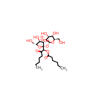 CCCCCC(=O)OC(C(=O)CCCCC)[C@@]1(O[C@H]2O[C@H](CO)[C@@H](O)[C@H](O)[C@H]2O)O[C@H](CO)[C@@H](O)[C@@H]1O